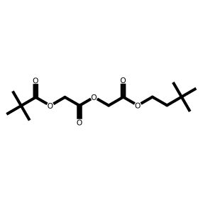 CC(C)(C)CCOC(=O)COC(=O)COC(=O)C(C)(C)C